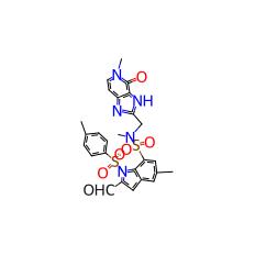 Cc1ccc(S(=O)(=O)n2c(C=O)cc3cc(C)cc(S(=O)(=O)N(C)Cc4nc5ccn(C)c(=O)c5[nH]4)c32)cc1